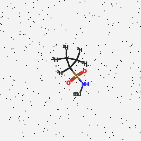 [2H]C1([2H])C([2H])([2H])C1([2H])S(=O)(=O)NC(C)(C)C